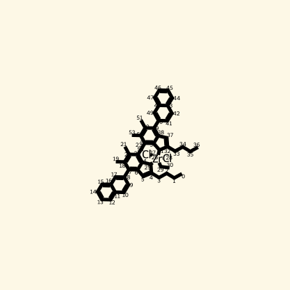 CCCCC1=Cc2c(-c3ccc4ccccc4c3)c(C)c(C)c(C)c2[CH]1[Zr]([Cl])([Cl])([CH2]C)[CH]1C(CCCC)=Cc2c(-c3ccc4ccccc4c3)c(C)c(C)c(C)c21